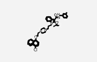 Cc1cccc(CNC(=O)c2c(OC(C)C)n(CCCN3CCN(CCOc4ccc(Cl)c5ccccc45)CC3)c3ccccc23)c1